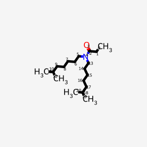 CCC(=O)N(CCCCCC(C)C)CCCCCC(C)C